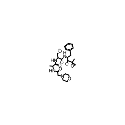 COCC(NC(=O)C(C)NC(=O)CN1CCOCC1)C(=O)NC(Cc1ccccc1)C(=O)C1(C)CO1